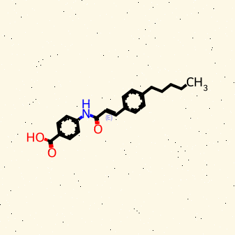 CCCCCc1ccc(/C=C/C(=O)Nc2ccc(C(=O)O)cc2)cc1